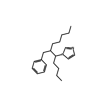 CCCCCC(Cc1ccccc1)C(CCCC)n1ccnc1